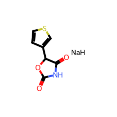 O=C1NC(=O)C(c2ccsc2)O1.[NaH]